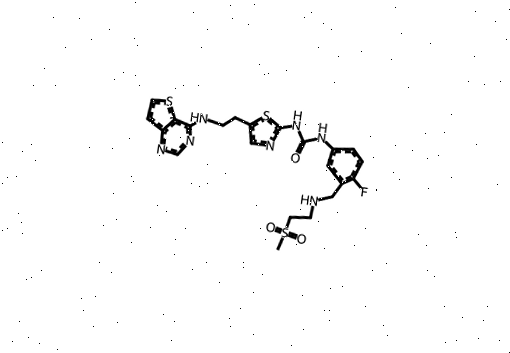 CS(=O)(=O)CCNCc1cc(NC(=O)Nc2ncc(CCNc3ncnc4ccsc34)s2)ccc1F